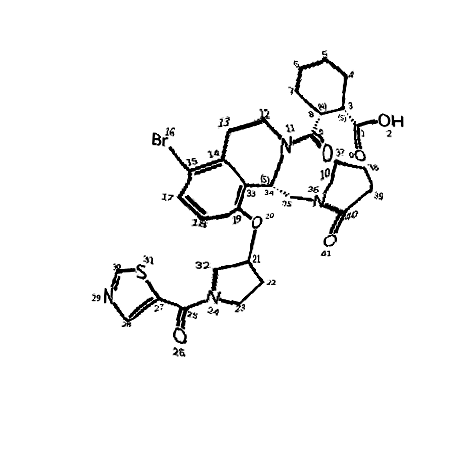 O=C(O)[C@H]1CCCC[C@H]1C(=O)N1CCc2c(Br)ccc(OC3CCN(C(=O)c4cncs4)C3)c2[C@H]1CN1CCCC1=O